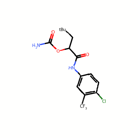 CC(C)(C)CC(OC(N)=O)C(=O)Nc1ccc(Cl)c(C(F)(F)F)c1